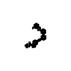 CC(C)(C)OC(=O)n1ncc2cc(C#Cc3ccnc(-c4ccnc(NCc5cncc(F)c5)n4)n3)ccc21